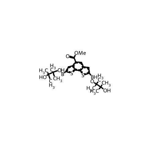 COC(=O)c1cc2cc(BOC(C)(C)C(C)(C)O)sc2c2sc(BOC(C)(C)C(C)(C)O)cc12